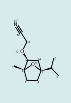 CC(C)[C@@]12CC[C@@](C)(O1)[C@@H](OCC#N)C2